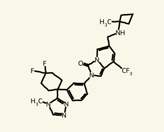 Cn1cnnc1C1(c2cccc(-n3cc4c(C(F)(F)F)cc(CNC5(C)CCC5)cn4c3=O)c2)CCC(F)(F)CC1